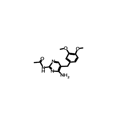 COc1ccc(Cc2cnc(NC(C)=O)nc2N)cc1OC